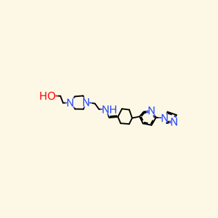 OCCN1CCN(CCNC=C2CCC(c3ccc(-n4ccnc4)nc3)CC2)CC1